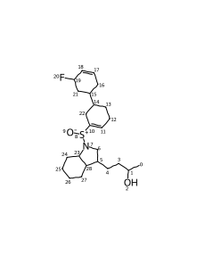 CC(O)CCC1CN([S+]([O-])C2=CCCC(C3CC=CC(F)C3)C2)C2CCCCC12